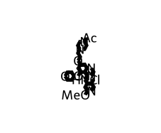 COc1cc(Nc2ncnc3cc(OCCN4CCN(C(C)=O)CC4)cc(OC4CCOCC4)c23)c(Cl)cn1